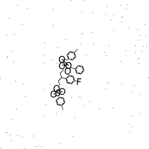 Cc1ccc(S(=O)(=O)OCCC(CCOS(=O)(=O)c2ccc(C)cc2)c2ccc(F)cc2OCc2ccccc2)cc1